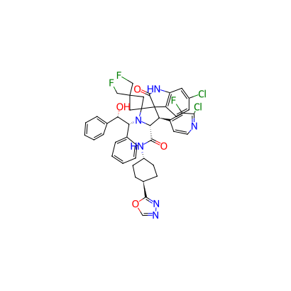 O=C(N[C@H]1CC[C@H](c2nnco2)CC1)[C@H]1[C@H](c2ccnc(Cl)c2F)C2(C(=O)Nc3cc(Cl)ccc32)C2(CC(CF)(CF)C2)N1[C@H](c1ccccc1)[C@@H](O)c1ccccc1